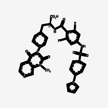 Cn1c(=O)n(-c2ccc(C[C@H](NC(=O)c3c(F)cc(NS(=O)(=O)c4ccc(-n5cccc5)cc4)cc3F)C(=O)O)cc2)c(=O)c2ccncc21